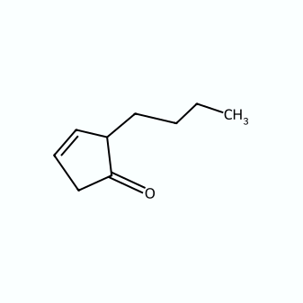 CCCCC1C=CCC1=O